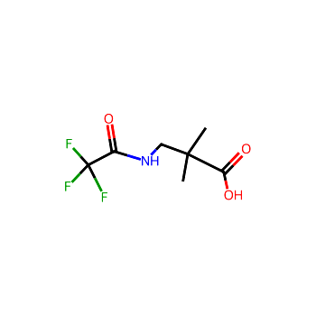 CC(C)(CNC(=O)C(F)(F)F)C(=O)O